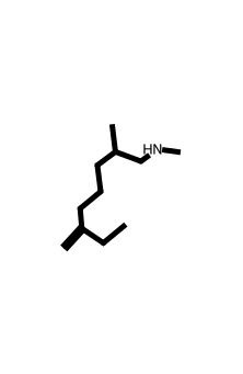 C=C(CC)CCCC(C)CNC